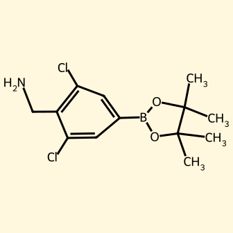 CC1(C)OB(c2cc(Cl)c(CN)c(Cl)c2)OC1(C)C